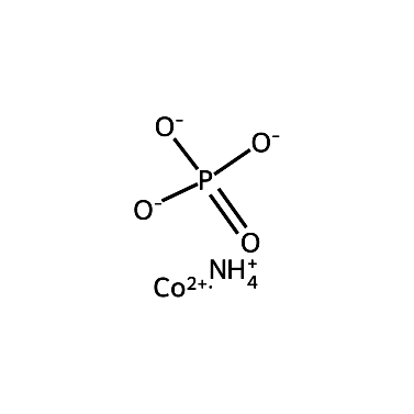 O=P([O-])([O-])[O-].[Co+2].[NH4+]